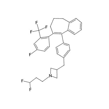 Fc1ccc(C2=C(c3ccc(CC4CN(CCC(F)F)C4)cc3)c3ccccc3CCC2)c(C(F)(F)F)c1